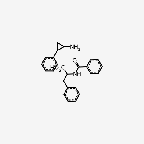 NC1CC1c1ccccc1.O=C(NC(Cc1[c]cccc1)C(=O)O)c1ccccc1